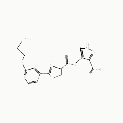 COCCNc1cc(C2=NC(C(=O)Nc3c[nH]nc3C(N)=O)CO2)ccn1